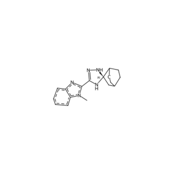 Cn1c(C2=NN[C@@]3(CC4CCC3CC4)N2)nc2ccccc21